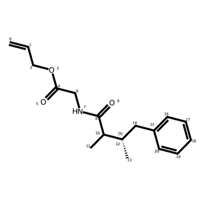 C=CCOC(=O)CNC(=O)C(C)[C@@H](C)Cc1ccccc1